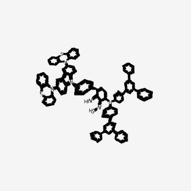 N=C1C(c2ccc(-n3c4ccc(N5c6ccccc6Sc6ccccc65)cc4c4cc(N5c6ccccc6Sc6ccccc65)ccc43)cc2)=CC=C(N(c2ccc(-c3cc(-c4ccccc4)cc(-c4ccccc4)c3)cc2)c2ccc(-c3cc(-c4ccccc4)cc(-c4ccccc4)c3)cc2)/C1=N/S